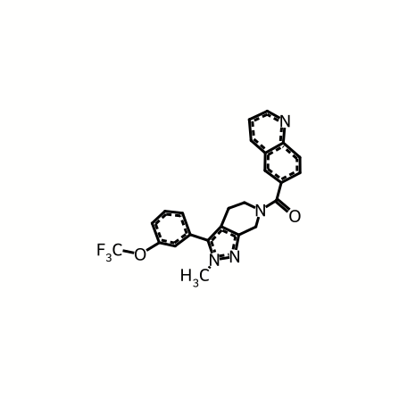 Cn1nc2c(c1-c1cccc(OC(F)(F)F)c1)CCN(C(=O)c1ccc3ncccc3c1)C2